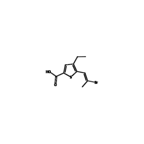 CCc1cc(C(=O)O)sc1/C=C(\C)Br